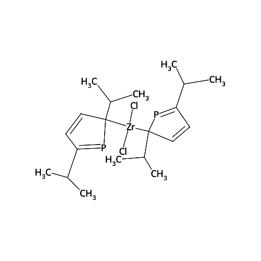 CC(C)C1=P[C](C(C)C)([Zr]([Cl])([Cl])[C]2(C(C)C)C=CC(C(C)C)=P2)C=C1